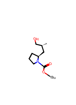 C[C@@H](CO)C[C@@H]1CCCN1C(=O)OC(C)(C)C